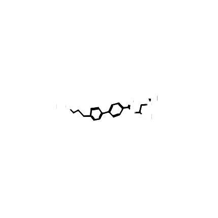 CCCCc1ccc(-c2ccc(C(=O)OC(C)COC)cc2)cc1